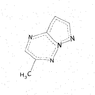 Cc1cnc2ccnn2n1